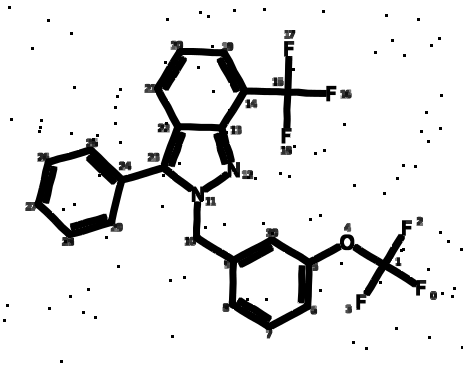 FC(F)(F)Oc1cccc(Cn2nc3c(C(F)(F)F)cccc3c2-c2ccccc2)c1